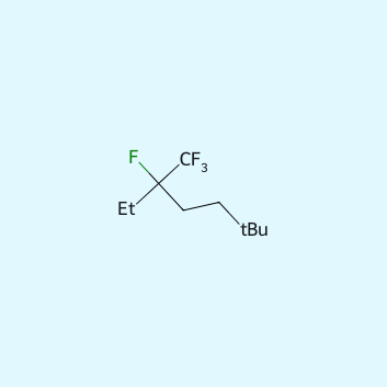 CCC(F)(CCC(C)(C)C)C(F)(F)F